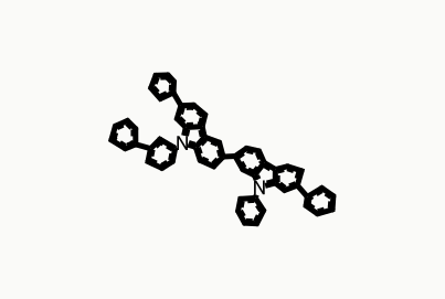 c1ccc(-c2cccc(-n3c4ccc(-c5ccc6c7ccc(-c8ccccc8)cc7n(-c7ccccc7)c6c5)cc4c4ccc(-c5ccccc5)cc43)c2)cc1